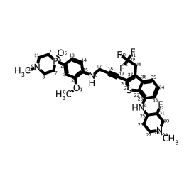 COc1cc(P2(=O)CCN(C)CC2)ccc1NCC#Cc1sc2c(NC3CCN(C)CC3F)cccc2c1CC(F)(F)F